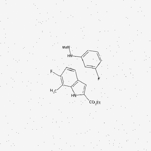 CCOC(=O)c1cc2ccc(F)c(C)c2[nH]1.CNNc1cccc(F)c1